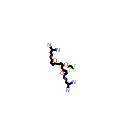 N#CC(C#N)=C/C=C/c1ccc(-c2cc(OCCC(F)(F)F)c(-c3ccc(/C=C/C=C(C#N)C#N)o3)s2)o1